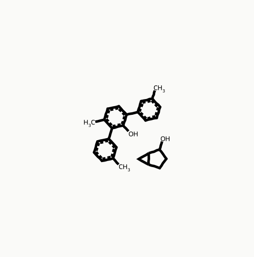 Cc1cccc(-c2ccc(C)c(-c3cccc(C)c3)c2O)c1.OC1CCC2CC12